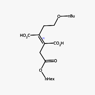 CCCCCCOC(=O)C/C(C(=O)O)=C(/CCOCCCC)C(=O)O